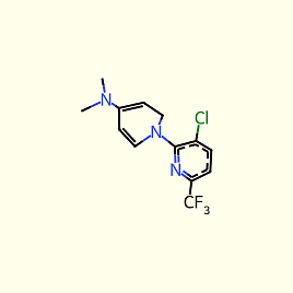 CN(C)C1=CCN(c2nc(C(F)(F)F)ccc2Cl)C=C1